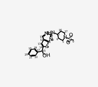 CS(=O)(=O)N1CCC(Nc2ncc3cc(C(O)c4ccccc4)sc3n2)CC1